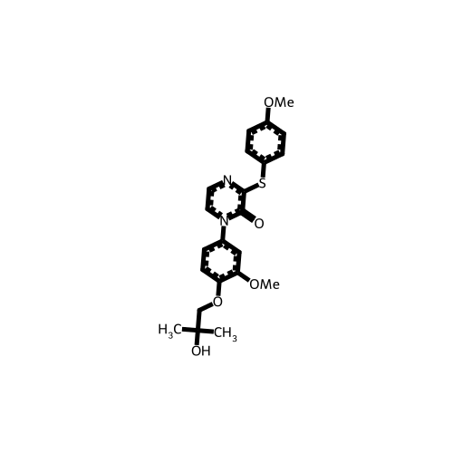 COc1ccc(Sc2nccn(-c3ccc(OCC(C)(C)O)c(OC)c3)c2=O)cc1